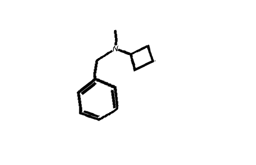 CN(Cc1ccccc1)C1C[CH]C1